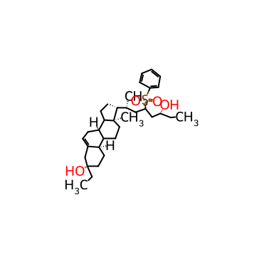 CC[C@@H](O)CC(C[C@@H](C)[C@H]1CCC2[C@@H]3CC=C4C[C@](O)(CC)CC[C@@H]4C3CC[C@@]21C)S(=O)(=O)c1ccccc1